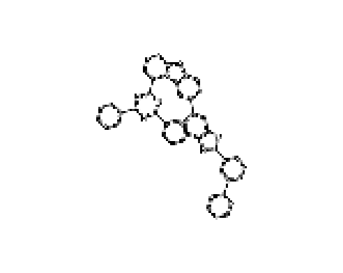 c1ccc(-c2cccc(-c3nc4ccc(-c5ccc6sc7cccc(-c8nc(-c9ccccc9)nc(-c9ccccc9)n8)c7c6c5)cc4o3)c2)cc1